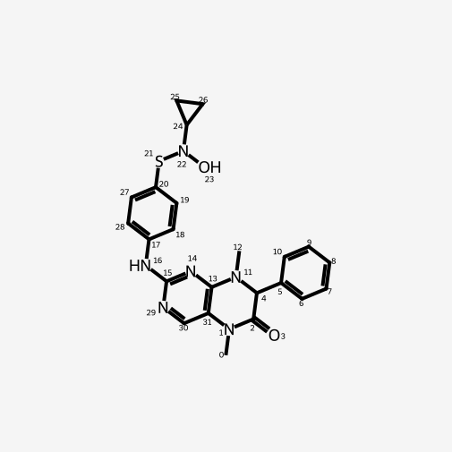 CN1C(=O)C(c2ccccc2)N(C)c2nc(Nc3ccc(SN(O)C4CC4)cc3)ncc21